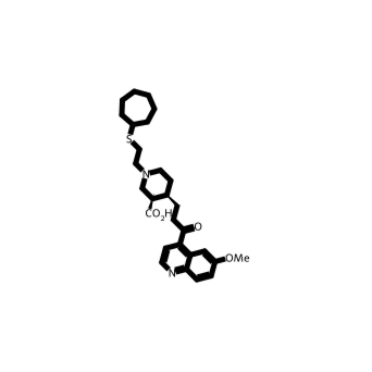 COc1ccc2nccc(C(=O)CC[C@@H]3CCN(CCSC4CCCCCC4)C[C@@H]3C(=O)O)c2c1